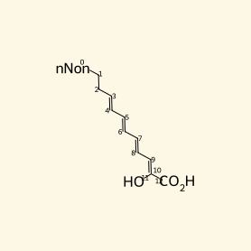 CCCCCCCCCCC/C=C/C=C/C=C/C=C(\O)C(=O)O